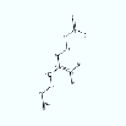 C=C(C)CCCC(OCCC(C)C)=C(C)C